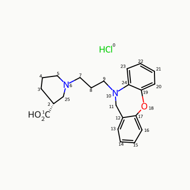 Cl.O=C(O)[C@@H]1CCCN(CCCN2Cc3ccccc3Oc3ccccc32)C1